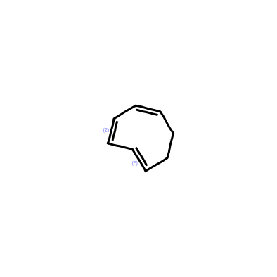 C1=CCC/C=C/C=C\1